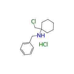 Cl.ClCC1(NCc2ccccc2)CCCCC1